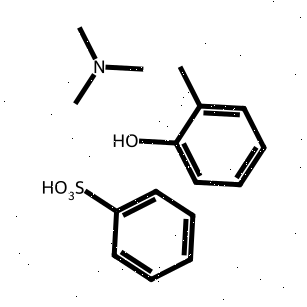 CN(C)C.Cc1ccccc1O.O=S(=O)(O)c1ccccc1